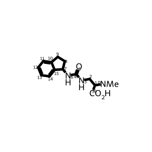 CNC(CNC(=O)NC1CCc2ccccc21)C(=O)O